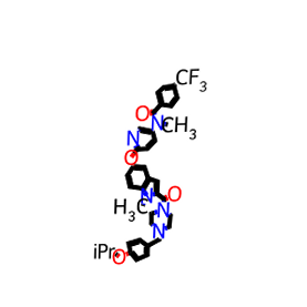 CC(C)Oc1ccc(CN2CCN(C(=O)c3cc4cc(Oc5ccc(N(C)C(=O)c6ccc(C(F)(F)F)cc6)cn5)ccc4n3C)CC2)cc1